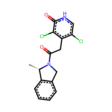 C[C@H]1c2ccccc2CN1C(=O)Cc1c(Cl)c[nH]c(=O)c1Cl